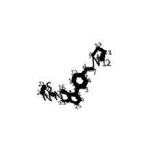 C1=C(c2ccc(CCN3CCCC3)cc2)C2CN(c3nccs3)CC2C1